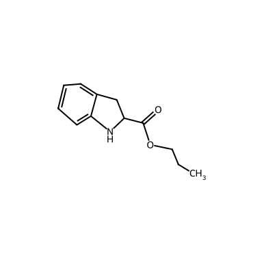 CCCOC(=O)C1Cc2ccccc2N1